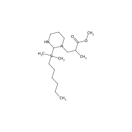 CCCCCC[Si](C)(C)C1NCCCN1CC(C)C(=O)OC